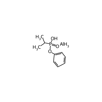 CC(C)P(=O)(O)Oc1ccccc1.[AlH3]